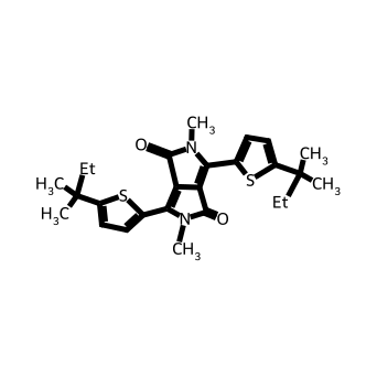 CCC(C)(C)c1ccc(C2=C3C(=O)N(C)C(c4ccc(C(C)(C)CC)s4)=C3C(=O)N2C)s1